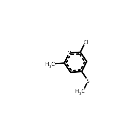 CSc1cc(C)nc(Cl)c1